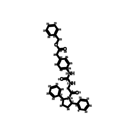 O=C(NCC(=O)N1C(c2ccccc2)CCC1c1ccccc1)Nc1ccc(CC(=O)OCc2ccccc2)cc1